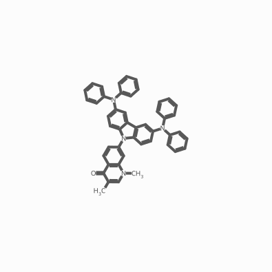 Cc1cn(C)c2cc(-n3c4ccc(N(c5ccccc5)c5ccccc5)cc4c4cc(N(c5ccccc5)c5ccccc5)ccc43)ccc2c1=O